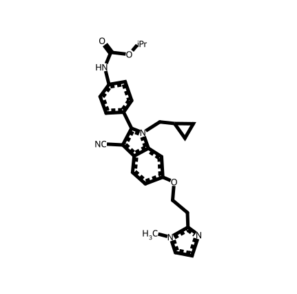 CC(C)OC(=O)Nc1ccc(-c2c(C#N)c3ccc(OCCc4nccn4C)cc3n2CC2CC2)cc1